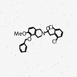 COc1ccc2c(c1OCc1ccccc1)CCN(C(=O)Cc1c(Cl)cccc1Cl)C2